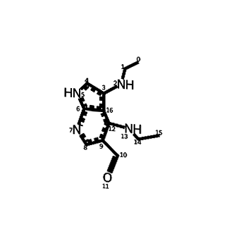 CCNc1c[nH]c2ncc(C=O)c(NCC)c12